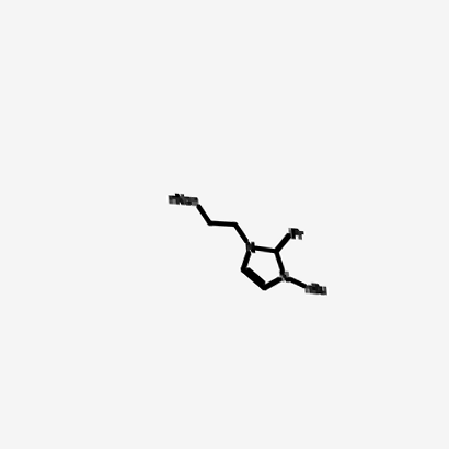 CCCCCCCCCCCN1C=CN(CCCC)C1C(C)C